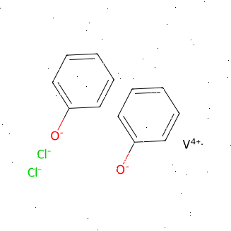 [Cl-].[Cl-].[O-]c1ccccc1.[O-]c1ccccc1.[V+4]